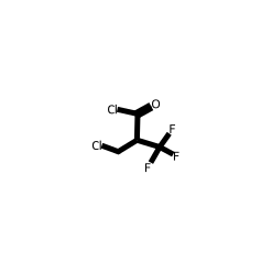 O=C(Cl)C(CCl)C(F)(F)F